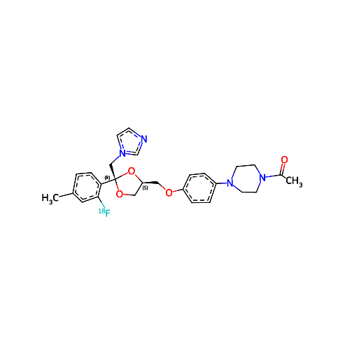 CC(=O)N1CCN(c2ccc(OC[C@H]3CO[C@](Cn4ccnc4)(c4ccc(C)cc4[18F])O3)cc2)CC1